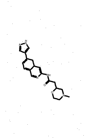 CN1CCOC(CC(=O)NC2=CC3CC(c4cn[nH]c4)=CC=C3C=N2)C1